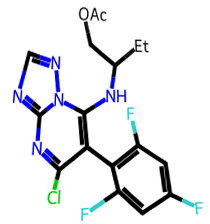 CCC(COC(C)=O)Nc1c(-c2c(F)cc(F)cc2F)c(Cl)nc2ncnn12